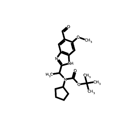 COc1cc2[nH]c(C(C)N(C(=O)OC(C)(C)C)C3CCCC3)nc2cc1C=O